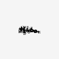 Cc1noc(C)c1S(=O)(=O)N[C@@H](CNC(=O)CN1CCN(c2ccc(C#N)cc2)CC1=O)C(=O)O